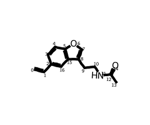 C=Cc1ccc2occ(CCNC(C)=O)c2c1